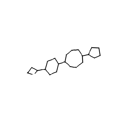 B1CCC1C1CCC(C2CCCC(C3CCCC3)CCC2)CC1